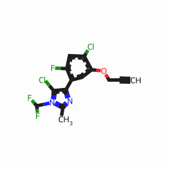 C#CCOc1cc(-c2nc(C)n(C(F)F)c2Cl)c(F)cc1Cl